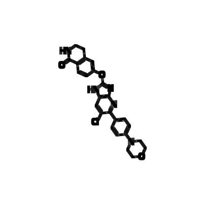 O=C1NCCc2cc(Oc3nc4nc(-c5ccc(N6CCOCC6)cc5)c(Cl)cc4[nH]3)ccc21